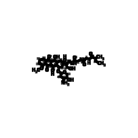 CCC(C)C(=O)NCC(=O)NCC(=O)N/N=C(\CO)[C@]1(O)CC2C(O)=C3C(=O)C4C=CC=C(OC)C4C(=O)C3=C(O)C2[C@@H](OC2CC(N)C(O)CO2)C1